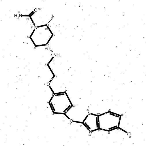 C[C@@H]1C[C@H](NCCOc2ccc(Oc3nc4cc(Cl)ccc4s3)cc2)CCN1C(N)=O